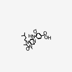 COc1cc(C(=O)O)ccc1Nc1cc2c(cn1)N(C)C(=O)C(C)N2CCC(C)C